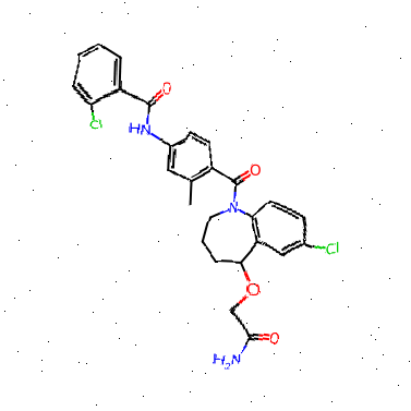 Cc1cc(NC(=O)c2ccccc2Cl)ccc1C(=O)N1CCCC(OCC(N)=O)c2cc(Cl)ccc21